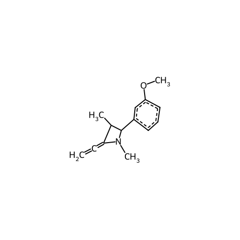 C=C=C1C(C)C(c2cccc(OC)c2)N1C